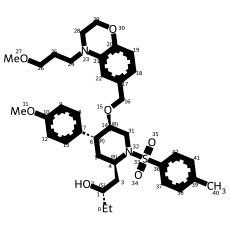 CC[C@H](O)C[C@H]1C[C@H](c2ccc(OC)cc2)[C@@H](OCc2ccc3c(c2)N(CCCOC)CCO3)CN1S(=O)(=O)c1ccc(C)cc1